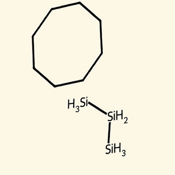 C1CCCCCCC1.[SiH3][SiH2][SiH3]